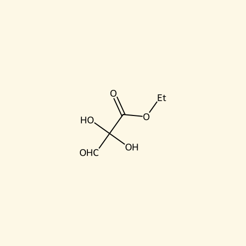 CCOC(=O)C(O)(O)C=O